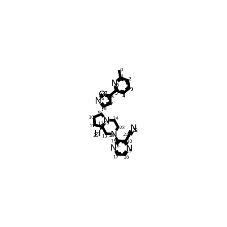 Cc1cccc(-c2cc([C@H]3CC[C@H]4CN(c5nccnc5C#N)CCN43)no2)n1